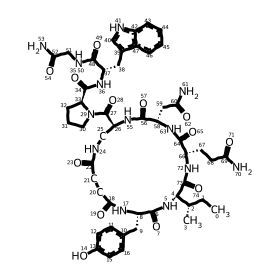 CC[C@H](C)[C@@H]1NC(=O)[C@H](Cc2ccc(O)cc2)NC(=O)CCC(=O)NC[C@@H](C(=O)N2CCC[C@H]2C(=O)N[C@@H](Cc2c[nH]c3ccccc23)C(=O)NCC(N)=O)NC(=O)[C@H](CC(N)=O)NC(=O)[C@H](CCC(N)=O)NC1=O